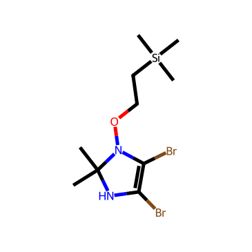 CC1(C)NC(Br)=C(Br)N1OCC[Si](C)(C)C